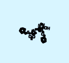 CC(=O)OC1CN(Cc2cn(COCc3ccccc3)c3c(O)ncnc23)C[C@@H]1CSCc1ccccc1